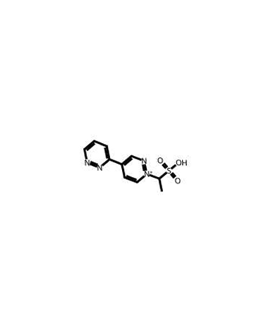 CC([n+]1ccc(-c2cccnn2)cn1)S(=O)(=O)O